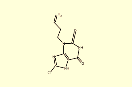 C=CCCn1c(=O)[nH]c(=O)c2[nH]c(Cl)nc21